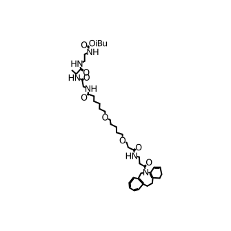 CC(C)COC(=O)NCCNC(=O)C(C)NC(=O)CNC(=O)CCCCCOCCCCCOCCC(=O)NCCC(=O)N1CC2=C(C=CC=C=C2)CCC2=C1C=CCC2